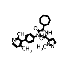 Cc1ccnc(C)c1-c1ccc(NC(=O)[C@@H](NC(=O)c2ccnn2C)C2CCCCCC2)cc1